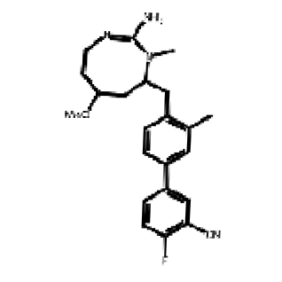 COC1CC/N=C(/N)N(C)C(Cc2ccc(-c3ccc(F)c(C#N)c3)cc2C)C1